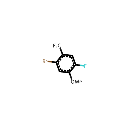 COc1cc(Br)c(C(F)(F)F)cc1F